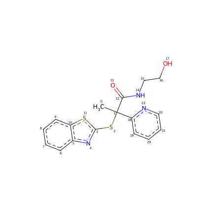 CC(Sc1nc2ccccc2s1)(C(=O)NCCO)c1ccccn1